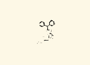 COC(=O)Cn1nnc(NC(=O)C(c2ccccc2)c2ccccc2)n1